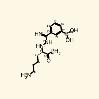 N=C(NN[C@@H](CCCCN)C(=O)P)c1cccc(B(O)O)c1